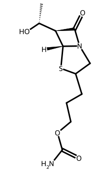 C[C@@H](O)[C@H]1C(=O)N2CC(CCCOC(N)=O)S[C@H]12